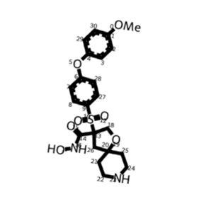 COc1ccc(Oc2ccc(S(=O)(=O)C3(C(=O)NO)COC4(CCNCC4)C3)cc2)cc1